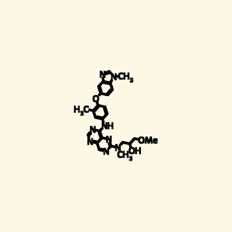 COCC(O)CN(C)c1ncc2ncnc(Nc3ccc(Oc4ccc5c(c4)ncn5C)c(C)c3)c2n1